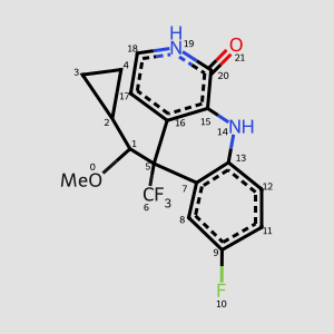 COC(C1CC1)C1(C(F)(F)F)c2cc(F)ccc2Nc2c1cc[nH]c2=O